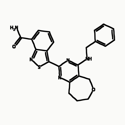 NC(=O)c1cccc2c(-c3nc4c(c(NCc5ccccc5)n3)COCCC4)snc12